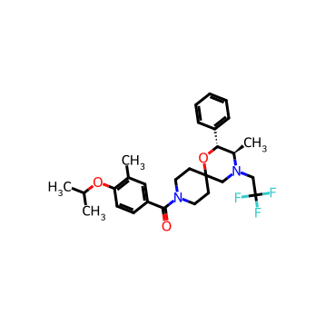 Cc1cc(C(=O)N2CCC3(CC2)CN(CC(F)(F)F)[C@H](C)[C@@H](c2ccccc2)O3)ccc1OC(C)C